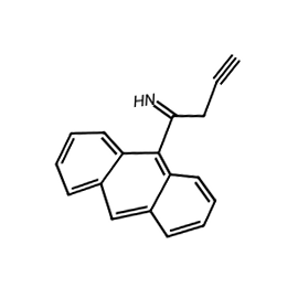 C#CCC(=N)c1c2ccccc2cc2ccccc12